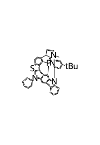 CN1C=CC2C1=P13c4c2ccc2sc5c(c42)c2c1c1c(cc2n5-c2ccccc2)c2ccccc2n1-c1cc(C(C)(C)C)cc[n+]13